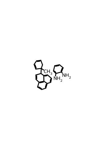 CC1(C2C=Cc3cccc4cccc2c34)C=CC=CC1.Nc1ccccc1N